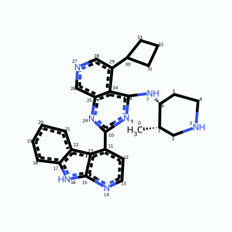 C[C@H]1CNCC[C@H]1Nc1nc(-c2ccnc3[nH]c4ccccc4c23)nc2cncc(C3CCC3)c12